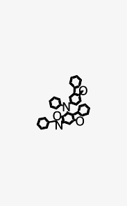 c1ccc(-c2nc3cc4oc5ccccc5c4c(N(c4ccccc4)c4ccc5oc6ccccc6c5c4)c3o2)cc1